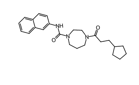 O=C(CCC1CCCC1)N1CCCN(C(=O)Nc2ccc3ccccc3c2)CC1